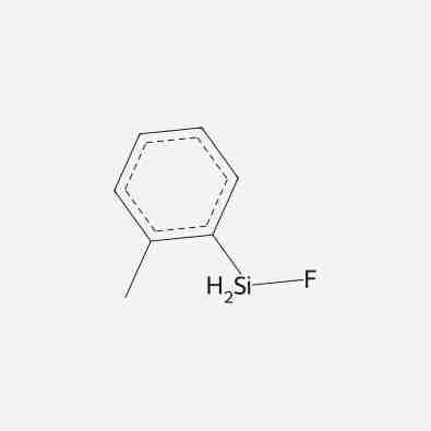 Cc1ccccc1[SiH2]F